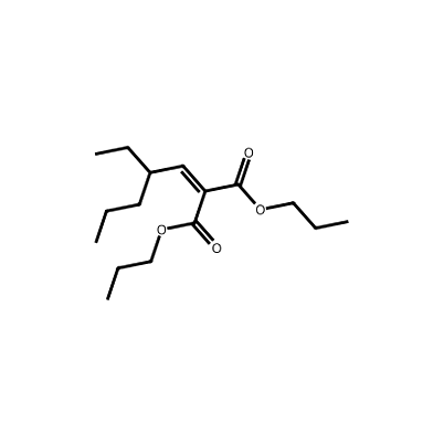 CCCOC(=O)C(=CC(CC)CCC)C(=O)OCCC